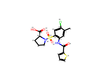 Cc1cc(NC(=O)c2cccs2)c(S(=O)(=O)N2CCC[C@H]2C(=O)O)cc1Cl